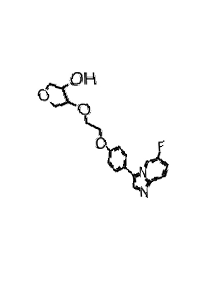 OC1COCC1OCCOc1ccc(-c2cnc3ccc(F)cn23)cc1